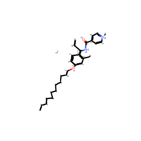 CCCCCCCCCCCCOc1ccc(C(CC)NC(=O)c2cc[n+](C)cc2)c(C)c1.[I-]